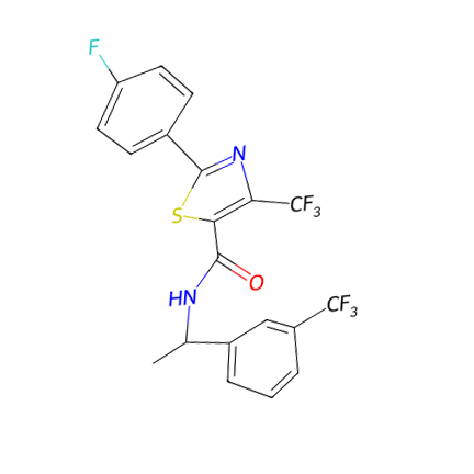 CC(NC(=O)c1sc(-c2ccc(F)cc2)nc1C(F)(F)F)c1cccc(C(F)(F)F)c1